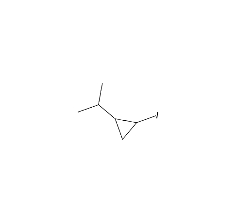 CC(C)C1CC1I